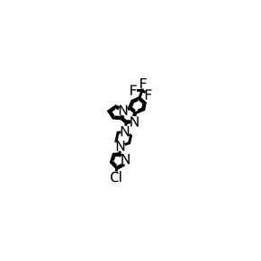 FC(F)(F)c1ccc2nc(N3CCN(c4ccc(Cl)cn4)CC3)c3cccn3c2c1